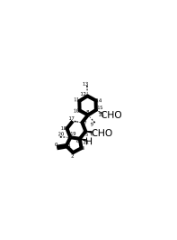 C=C1CC[C@H]2[C@H](C=O)[C@@H]([C@@]3(C)CC[C@H](C)C[C@@H]3C=O)CC[C@]12C